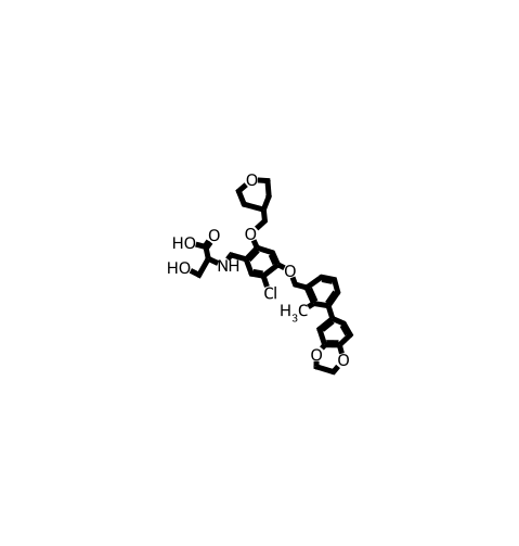 Cc1c(COc2cc(OCC3CCOCC3)c(CNC(CO)C(=O)O)cc2Cl)cccc1-c1ccc2c(c1)OCCO2